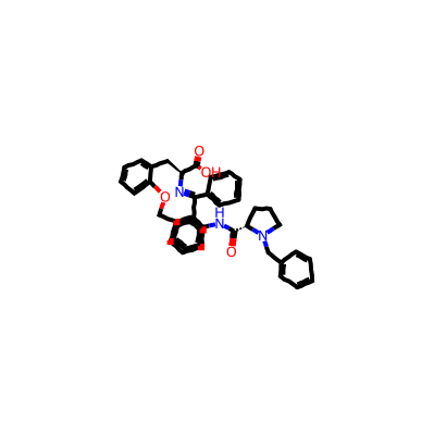 O=C(O)[C@H](Cc1ccccc1OCc1ccccc1)/N=C(\c1ccccc1)c1ccccc1NC(=O)[C@@H]1CCCN1Cc1ccccc1